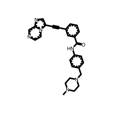 CN1CCN(Cc2ccc(NC(=O)c3cccc(C#Cc4cnc5cnccn45)c3)cc2)CC1